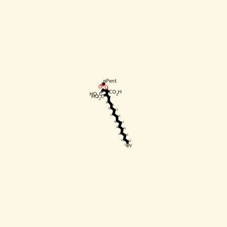 CCCCCC(=O)OC(CC(=O)O)(C(=O)O)C(CCCCCCCCCCCCCCCC(C)C)C(=O)O